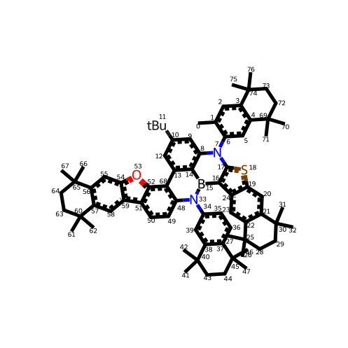 Cc1cc2c(cc1N1c3cc(C(C)(C)C)cc4c3B(c3c1sc1cc5c(cc31)C(C)(C)CCC5(C)C)N(c1ccc3c(c1)C(C)(C)CCC3(C)C)c1ccc3c(oc5cc6c(cc53)C(C)(C)CCC6(C)C)c1-4)C(C)(C)CCC2(C)C